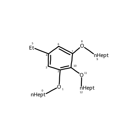 CCCCCCCOc1cc(CC)cc(OCCCCCCC)c1OCCCCCCC